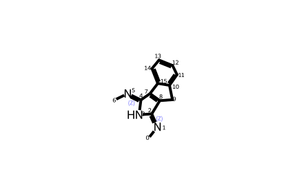 C/N=C1\N/C(=N\C)C2=C1Cc1ccccc12